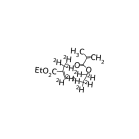 [2H]C([2H])([2H])C([2H])([2H])OC(=O)C(=C)C.[2H]C([2H])=C(C(=O)OCC)C([2H])([2H])[2H]